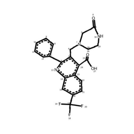 O=C1CN(Cc2c(-c3ccccc3)nc3cc(C(F)(F)F)ccc3c2C(=O)O)CCN1